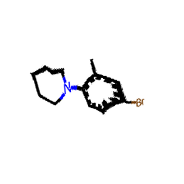 Cc1cc(Br)ccc1N1CCCCC1